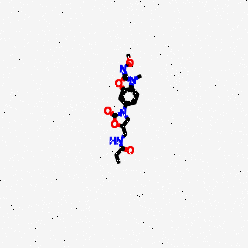 CCC(=O)NCC1CN(c2ccc3c(c2)oc(=NOC)n3C)C(=O)O1